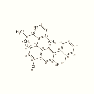 Cc1ccnc(C(C)C)c1-n1c(=O)nc(Cl)c2cc(F)c(-c3ccccc3F)nc21